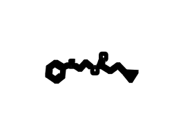 O=C(CCC1CC1)OCCSc1ccccc1